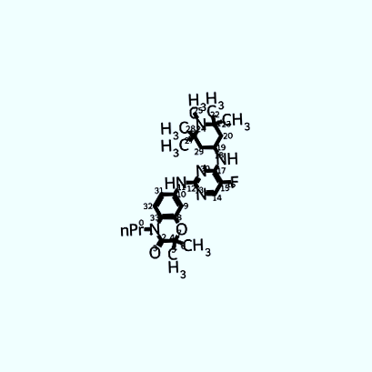 CCCN1C(=O)C(C)(C)Oc2cc(Nc3ncc(F)c(NC4CC(C)(C)N(C)C(C)(C)C4)n3)ccc21